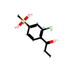 CCC(=O)c1ccc(S(C)(=O)=O)cc1Cl